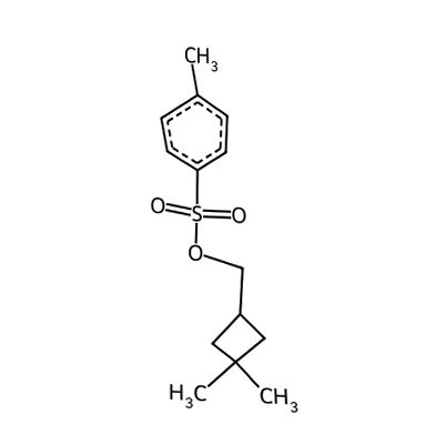 Cc1ccc(S(=O)(=O)OCC2CC(C)(C)C2)cc1